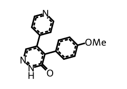 COc1ccc(-c2c(-c3ccncc3)cn[nH]c2=O)cc1